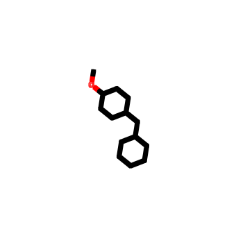 COC1CCC(CC2CCCCC2)CC1